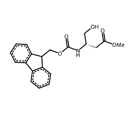 COC(=O)C[C@@H](CO)NC(=O)OCC1c2ccccc2-c2ccccc21